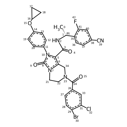 C[C@@H](NC(=O)c1c2n(c(=O)n1-c1ccc(OC3CC3)cc1)CCN(C(=O)c1ccc(Br)c(Cl)c1)C2)c1ccc(C#N)cc1F